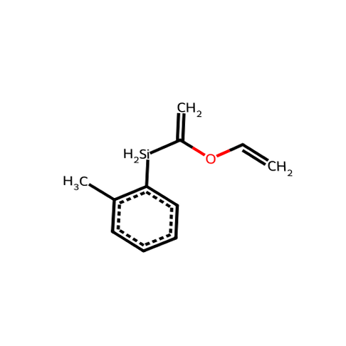 C=COC(=C)[SiH2]c1ccccc1C